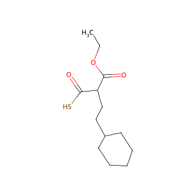 CCOC(=O)C(CCC1CCCCC1)C(=O)S